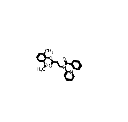 COc1cccc(C)c1OC(=O)CCN(C(=O)C1=CC=C=C=C1)c1ccccn1